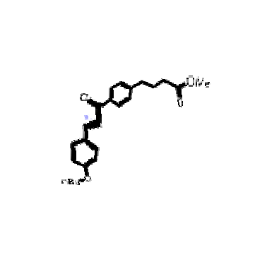 CCCCOc1ccc(/C=C/C(=O)c2ccc(CCCC(=O)OC)cc2)cc1